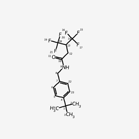 CC(C)(C)c1ccc(CNC(=O)CC(C(F)(F)F)C(F)(F)F)cc1